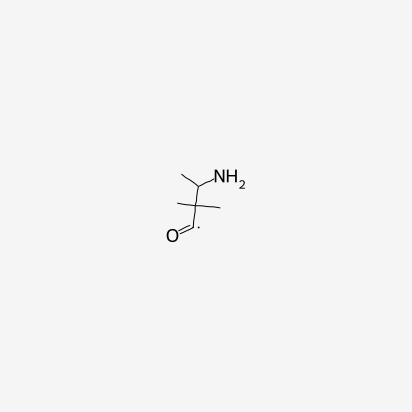 CC(N)C(C)(C)[C]=O